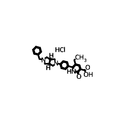 CCc1cc(C(=O)O)c(=O)[nH]c1-c1ccc(N2C[C@H]3CN(Cc4ccccc4)C[C@H]3C2)cc1.Cl